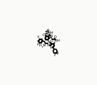 Cc1cc(C2CCC(F)(F)CC2)nc2nc([C@@H](N)Cc3cc(F)cc(F)c3)n(-c3ccc(Cl)c4c(NS(C)(=O)=O)nn(CC(=O)O)c34)c(=O)c12